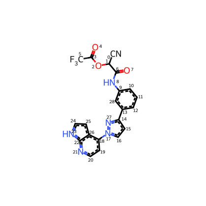 N#CC(OC(=O)C(F)(F)F)C(=O)Nc1cccc(-c2ccn(-c3ccnc4[nH]ccc34)n2)c1